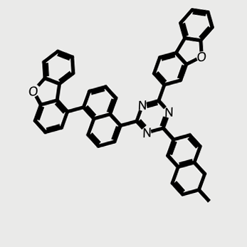 CC1C=Cc2cc(-c3nc(-c4ccc5c(c4)oc4ccccc45)nc(-c4cccc5c(-c6cccc7oc8ccccc8c67)cccc45)n3)ccc2C1